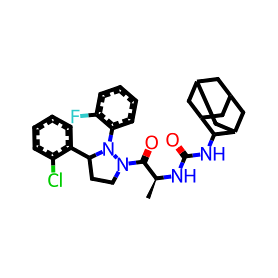 C[C@H](NC(=O)NC1C2CC3CC(C2)CC1C3)C(=O)N1CCC(c2ccccc2Cl)N1c1ccccc1F